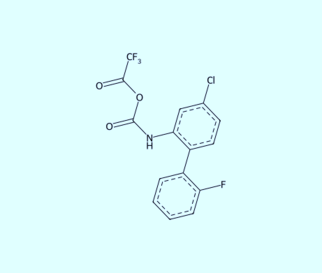 O=C(Nc1cc(Cl)ccc1-c1ccccc1F)OC(=O)C(F)(F)F